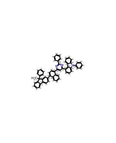 CC1(c2ccccc2)c2ccccc2-c2ccc(-c3ccc(-c4cc(-c5cccc6c5c5ccccc5n6-c5ccccc5)nc(-c5ccccc5)n4)c4ccccc34)cc21